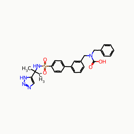 CC(C)(NS(=O)(=O)c1ccc(-c2cccc(CN(Cc3ccccc3)C(=O)O)c2)cc1)c1cnn[nH]1